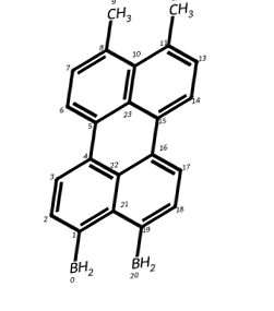 Bc1ccc2c3ccc(C)c4c(C)ccc(c5ccc(B)c1c25)c43